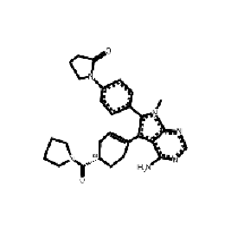 Cn1c(-c2ccc(N3CCCC3=O)cc2)c(C2=CC[C@@H](C(=O)N3CCCC3)CC2)c2c(N)ncnc21